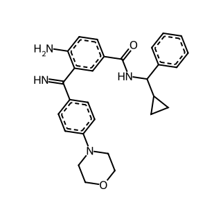 N=C(c1ccc(N2CCOCC2)cc1)c1cc(C(=O)NC(c2ccccc2)C2CC2)ccc1N